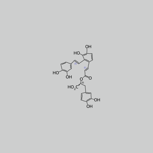 O=C(/C=C/c1ccc(O)c(O)c1/C=C/c1ccc(O)c(O)c1)O[C@@H](Cc1ccc(O)c(O)c1)C(=O)O